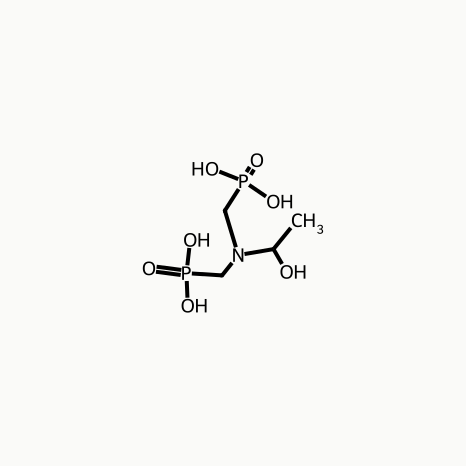 CC(O)N(CP(=O)(O)O)CP(=O)(O)O